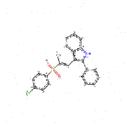 N#CC(=Cc1c(-c2ccccc2)[nH]c2ccccc12)S(=O)(=O)c1ccc(Cl)cc1